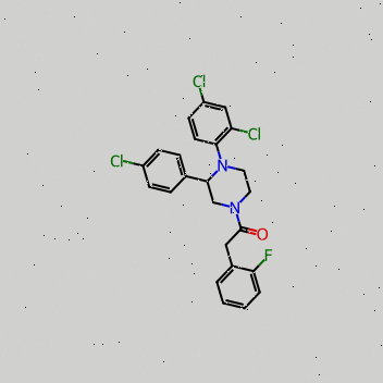 O=C(Cc1ccccc1F)N1CCN(c2ccc(Cl)cc2Cl)C(c2ccc(Cl)cc2)C1